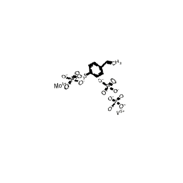 C=Cc1ccc(S(=O)(=O)O)cc1.O=P([O-])([O-])[O-].O=P([O-])([O-])[O-].O=P([O-])([O-])[O-].[Mo+4].[V+5]